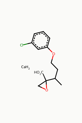 CC(CCOc1cccc(Cl)c1)C1(C(=O)O)CO1.[CaH2]